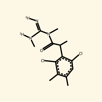 [2H]/N=C(\N([2H])C)N(C)C(=O)C(C)c1c(Cl)cc(C)c(C)c1Cl